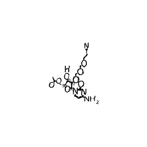 CC(=O)OC[C@H]1O[C@@H](n2ccc(N)nc2=O)[C@H](OCOCOCCC#N)[C@@H]1O